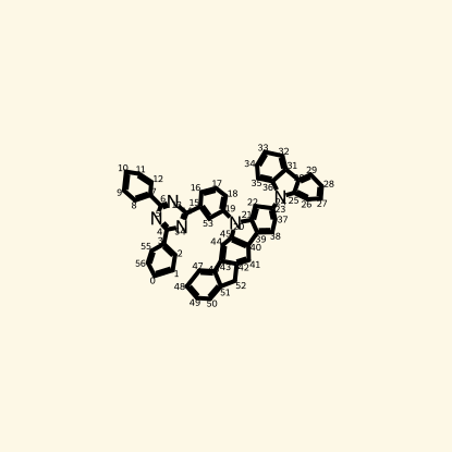 c1ccc(-c2nc(-c3ccccc3)nc(-c3cccc(-n4c5cc(-n6c7ccccc7c7ccccc76)ccc5c5cc6c(cc54)-c4ccccc4C6)c3)n2)cc1